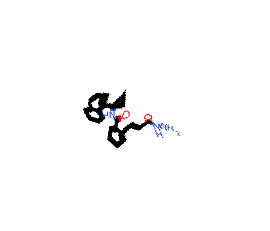 NNC(=O)CCc1ccccc1C(=O)NC1(c2cccc3ccccc23)CC1